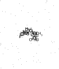 CC(Cl)(Cl)C(C(=O)Nc1ccc(Cl)c(C(=O)Nc2nc3ccc(F)cc3[nH]2)c1)c1cc(Cl)cc(Cl)c1